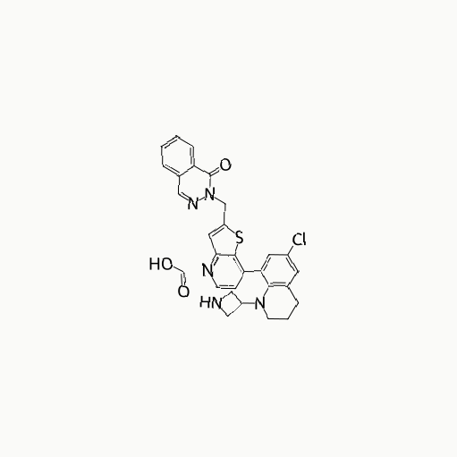 O=CO.O=c1c2ccccc2cnn1Cc1cc2nccc(-c3cc(Cl)cc4c3N(C3CNC3)CCC4)c2s1